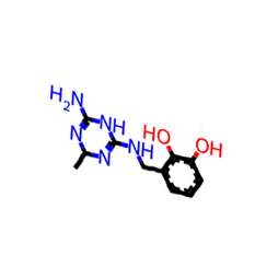 CC1N=C(N)NC(NCc2cccc(O)c2O)=N1